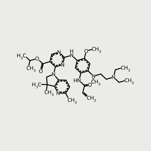 C=CC(=O)Nc1cc(Nc2ncc(C(=O)OC(C)C)c(N3CC(C)(C)c4nc(C)ccc43)n2)c(OC)cc1N(C)CCN(CC)CC